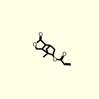 C=CC(=O)OC1CC2CC1(C)C1COC(=O)C21